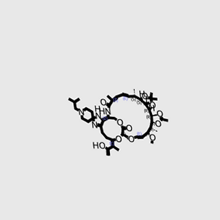 C=C(O)/C(C)=C1\CCC2=NC3(CCN(CC(C)C)CC3)N/C2=C2/COC(=O)[C@@](C)(O/C=C/[C@H](OC)[C@@H](C)[C@@H](OC(C)=O)[C@H](C)[C@@H]3OC(C)(C)O[C@H]([C@H]3C)[C@@H](C)/C=C/C=C(/C)C(=O)N2)O1